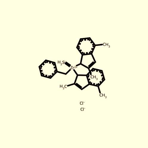 CC1=Cc2c(C)cccc2[CH]1[Zr+2](=[SiH2])([CH2]c1ccccc1)[CH]1C(C)=Cc2c(C)cccc21.[Cl-].[Cl-]